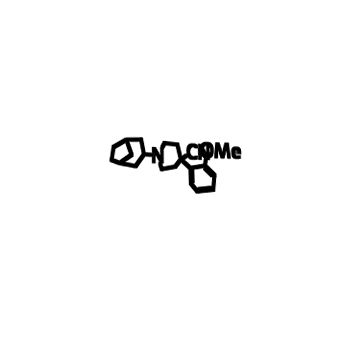 COc1ccccc1C1(C#N)CCN(C2CC3CCC(C3)C2)CC1